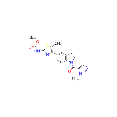 Cc1sc(NC(=O)OC(C)(C)C)nc1-c1ccc2c(c1)CCN2C(=O)c1cncn1C